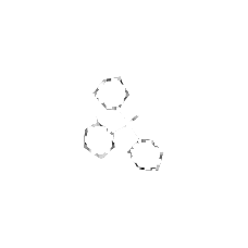 [Li][c]1ccccc1P(=O)(c1ccccc1)c1ccccc1